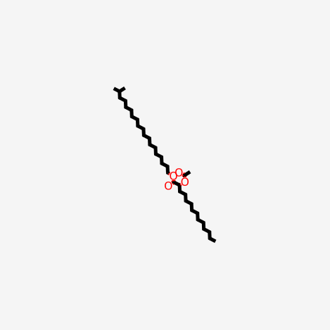 CCCCCCCCCCCCC(OC(C)=O)C(=O)OCCCCCCCCCCCCCCCCCC(C)C